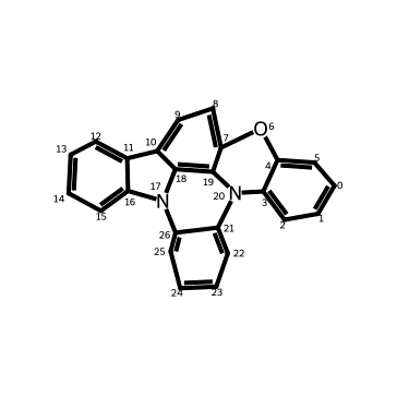 c1ccc2c(c1)Oc1ccc3c4ccccc4n4c3c1N2c1ccccc1-4